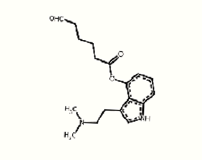 CN(C)CCc1c[nH]c2cccc(OC(=O)CCCCC=O)c12